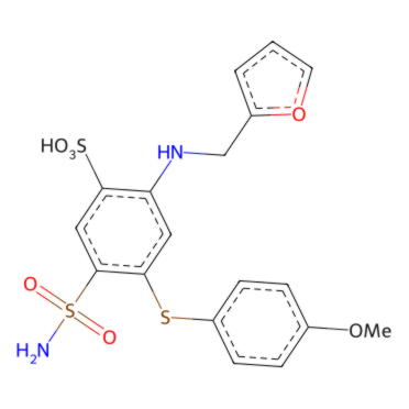 COc1ccc(Sc2cc(NCc3ccco3)c(S(=O)(=O)O)cc2S(N)(=O)=O)cc1